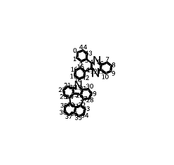 c1ccc(-c2nc3ccccc3nc2-c2cccc(-n3c4cccc5c4c4c(cccc43)-c3cccc4cccc-5c34)c2)cc1